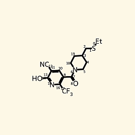 CCSCC1CCN(C(=O)c2cc(C#N)c(O)nc2C(F)(F)F)CC1